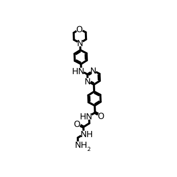 NCNC(=O)CNC(=O)c1ccc(-c2ccnc(Nc3ccc(N4CCOCC4)cc3)n2)cc1